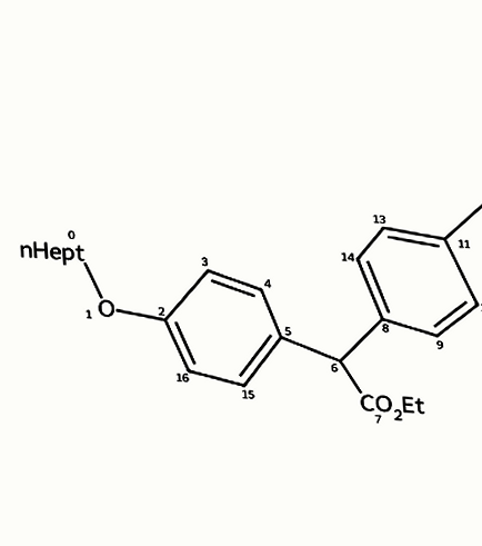 CCCCCCCOc1ccc(C(C(=O)OCC)c2ccc(C)cc2)cc1